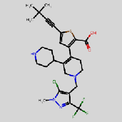 Cn1nc(C(F)(F)F)c(CN2CCC(c3cc(C#CC(C)(C)C)sc3C(=O)O)=C(C3CCNCC3)C2)c1Cl